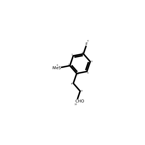 CSc1cc(F)ccc1CCC=O